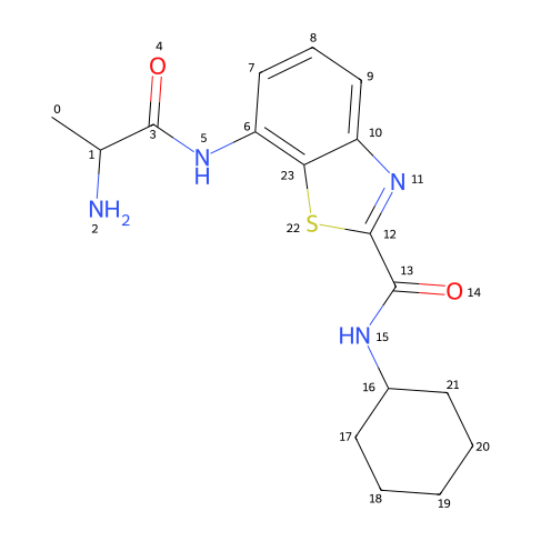 CC(N)C(=O)Nc1cccc2nc(C(=O)NC3CCCCC3)sc12